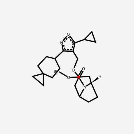 CC(C)(C)OC(=O)N1C2CC[C@H]1CC(OCc1c(C3CCC4(CC3)CC4)noc1C1CC1)C2